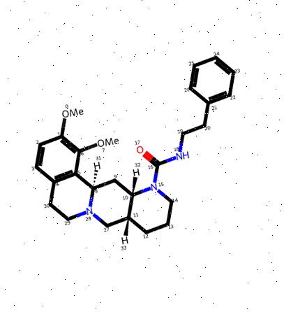 COc1ccc2c(c1OC)[C@H]1C[C@H]3[C@H](CCCN3C(=O)NCCc3ccccc3)CN1CC2